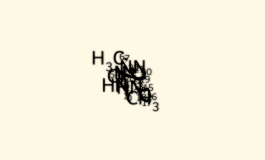 CCCNC=O.CCn1ncc2c(NC3CCCC3)ccnc21